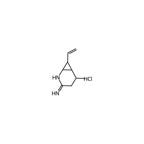 C=CC1C2NC(=N)CC(C)C12.Cl